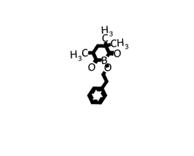 CC1CC(C)(C)C(=O)B(OCCc2ccccc2)C1=O